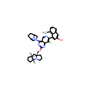 Cc1cccc2cc(O)cc(-c3ncc4c(N5CC6CCC(C5)N6)nc(OC[C@@]56CCCN5[C@@H]5CCC[C@@H]5C6)nc4c3F)c12